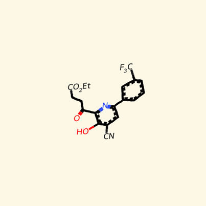 CCOC(=O)CCC(=O)c1nc(-c2cccc(C(F)(F)F)c2)cc(C#N)c1O